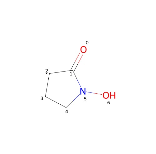 O=C1[CH]CCN1O